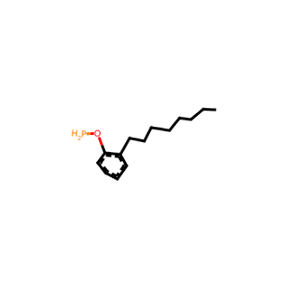 CCCCCCCCc1ccccc1OP